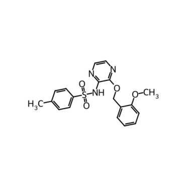 COc1ccccc1COc1nccnc1NS(=O)(=O)c1ccc(C)cc1